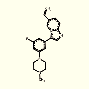 C=Cc1ccc2ncc(-c3cc(F)cc(N4CCN(C)CC4)c3)n2n1